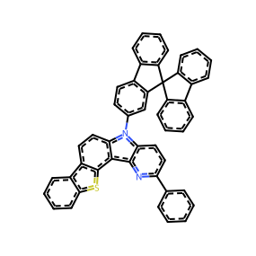 c1ccc(-c2ccc3c(n2)c2c4sc5ccccc5c4ccc2n3-c2ccc3c(c2)C2(c4ccccc4-c4ccccc42)c2ccccc2-3)cc1